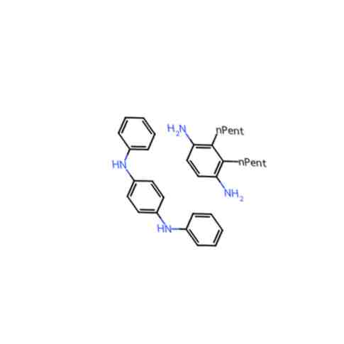 CCCCCc1c(N)ccc(N)c1CCCCC.c1ccc(Nc2ccc(Nc3ccccc3)cc2)cc1